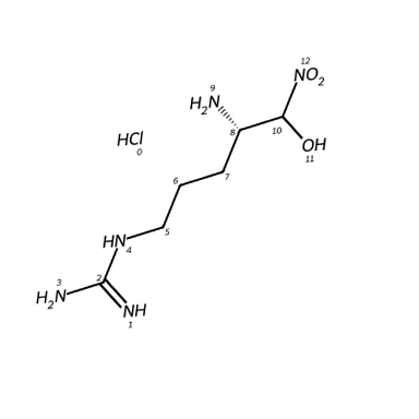 Cl.N=C(N)NCCC[C@H](N)C(O)[N+](=O)[O-]